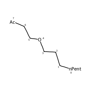 CCCCCCCCOCCC(C)=O